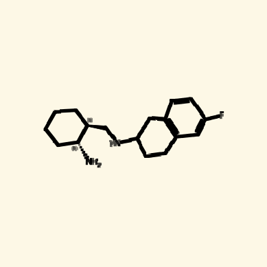 N[C@@H]1CCCC[C@H]1CNC1CCc2cc(F)ccc2C1